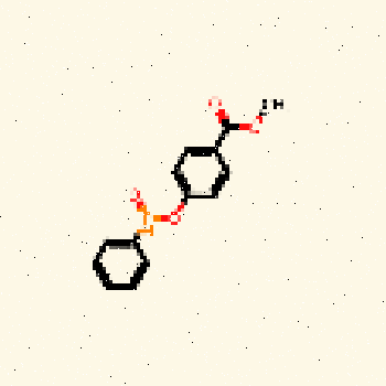 COC(=O)c1ccc(O[PH](=O)c2ccccc2)cc1